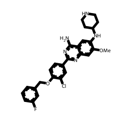 COc1cc2nc(-c3ccc(OCc4cccc(F)c4)c(Cl)c3)nc(N)c2cc1NC1CCNCC1